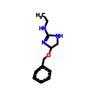 CCNC1=NC(OCc2ccccc2)CN1